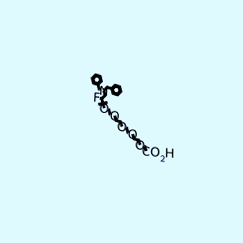 CC(C)(OCCOCCOCCOCCOCC(=O)O)C(F)CN(Cc1ccccc1)Cc1ccccc1